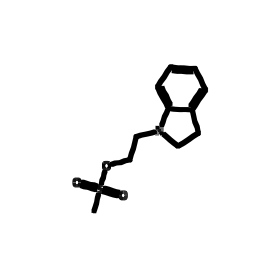 CS(=O)(=O)OCCN1CCc2ccccc21